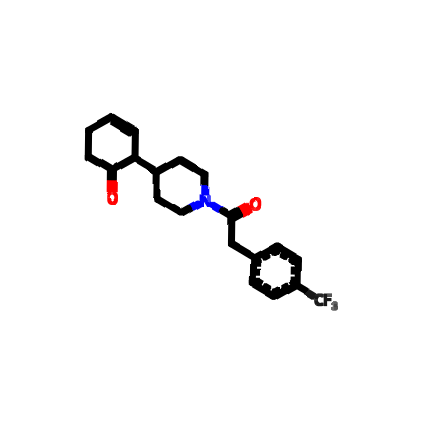 O=C1CCC=CC1C1CCN(C(=O)Cc2ccc(C(F)(F)F)cc2)CC1